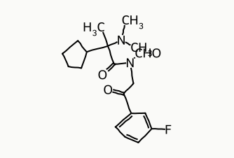 CN(C)C(C)(C(=O)N(C=O)CC(=O)c1cccc(F)c1)C1CCCC1